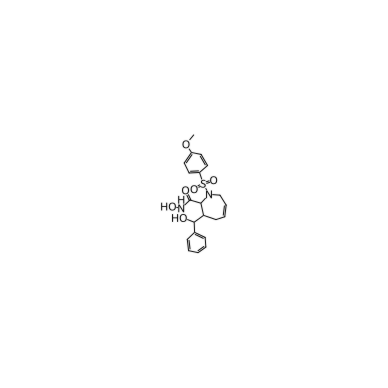 COc1ccc(S(=O)(=O)N2CC=CCC(C(O)c3ccccc3)C2C(=O)NO)cc1